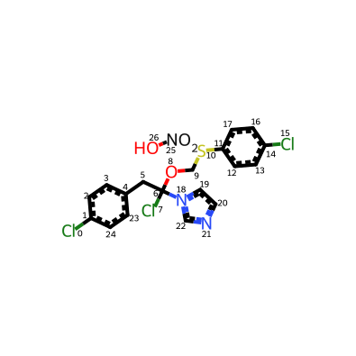 Clc1ccc(CC(Cl)(OCSc2ccc(Cl)cc2)n2ccnc2)cc1.O=[N+]([O-])O